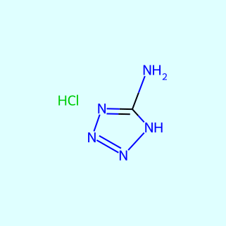 Cl.Nc1nnn[nH]1